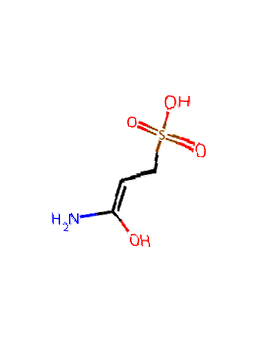 NC(O)=CCS(=O)(=O)O